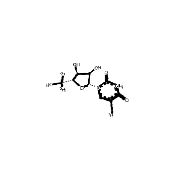 [2H]c1cn([C@@H]2O[C@H](C([2H])([2H])O)[C@@H](O)[C@H]2O)c(=O)[nH]c1=O